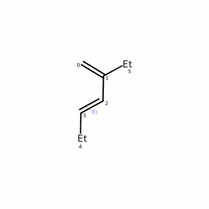 C=C(/C=C/CC)CC